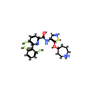 O=C(Nc1cnsc1OC1CCCNCC1)c1ccc(F)c(-c2c(F)cccc2F)n1